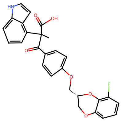 CC(C(=O)O)(C(=O)c1ccc(OC[C@H]2COc3cccc(F)c3O2)cc1)c1cccc2[nH]ccc12